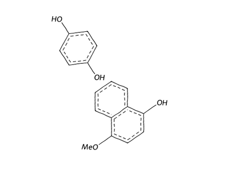 COc1ccc(O)c2ccccc12.Oc1ccc(O)cc1